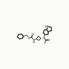 CC(=O)N(c1ccc2[nH]ccc2c1)[C@H]1C[C@H](NC(=O)OCc2ccccc2)C1